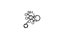 NC(=O)c1cn2c(c(OCc3ccccc3)c1=O)C(=O)N1CCCCCN2C1